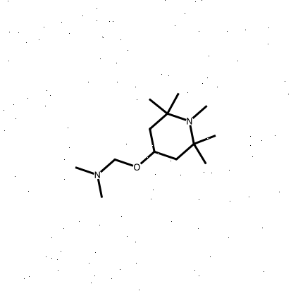 CN(C)COC1CC(C)(C)N(C)C(C)(C)C1